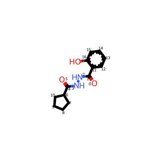 O=C(NNC(=O)C1CCCC1)c1ccccc1O